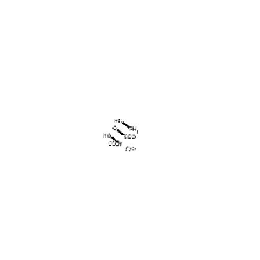 O=C(O)O.O=C([O-])[O-].OP.[Ca+2]